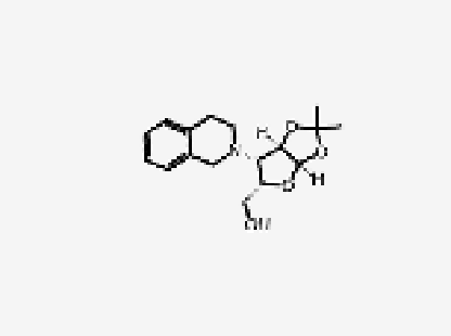 CC1(C)O[C@H]2O[C@H](CO)[C@H](N3CCc4ccccc4C3)[C@H]2O1